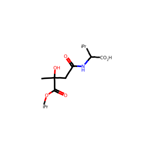 CC(C)OC(=O)C(C)(O)CC(=O)NC(C(=O)O)C(C)C